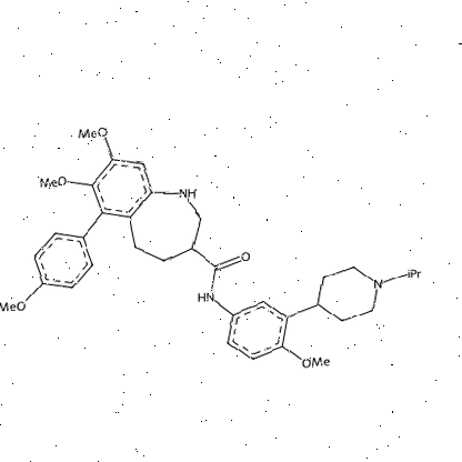 COc1ccc(-c2c3c(cc(OC)c2OC)NCC(C(=O)Nc2ccc(OC)c(C4CCN(C(C)C)CC4)c2)CC3)cc1